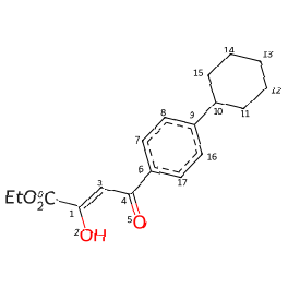 CCOC(=O)C(O)=CC(=O)c1ccc(C2CCCCC2)cc1